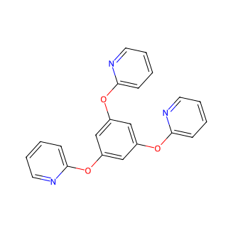 c1ccc(Oc2cc(Oc3ccccn3)cc(Oc3ccccn3)c2)nc1